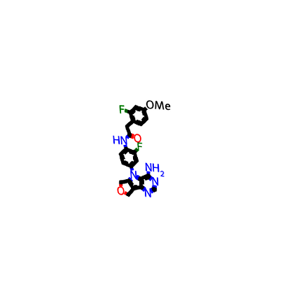 COc1ccc(CC(=O)Nc2ccc(-n3c4c(c5ncnc(N)c53)COC4)cc2F)c(F)c1